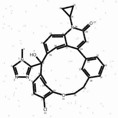 Cn1cnnc1C1(O)c2ccc(Cl)c(c2)OCCc2cccc(c2)-c2cc(=O)n(C3CC3)c3ccc1cc23